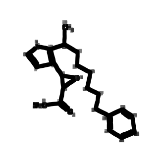 COC(=O)C1OC1c1ccsc1C(C)CCCCCCc1ccccc1